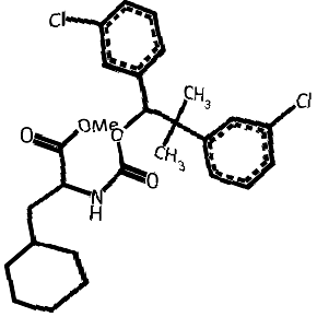 COC(=O)C(CC1CCCCC1)NC(=O)OC(c1cccc(Cl)c1)C(C)(C)c1cccc(Cl)c1